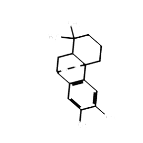 Cc1cc2c(cc1O)C13CCCC(C)(C)C1CC2OC3